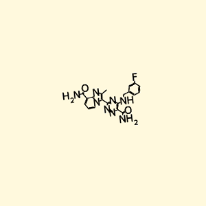 Cc1nc2c(C(N)=O)cccn2c1-c1nnc(C(N)=O)c(NCc2cccc(F)c2)n1